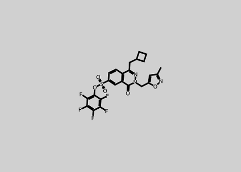 Cc1cc(Cn2nc(CC3CCC3)c3ccc(S(=O)(=O)Oc4c(F)c(F)c(F)c(F)c4F)cc3c2=O)on1